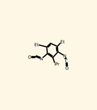 CCc1cc(CC)c(N=C=O)c(C(C)C)c1N=C=O